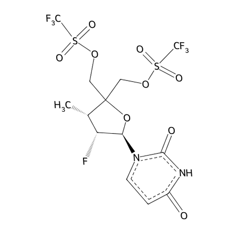 C[C@H]1[C@@H](F)[C@H](n2ccc(=O)[nH]c2=O)OC1(COS(=O)(=O)C(F)(F)F)COS(=O)(=O)C(F)(F)F